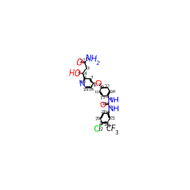 NC(=O)CC(O)c1cc(Oc2ccc(NC(=O)Nc3ccc(Cl)c(C(F)(F)F)c3)cc2)ccn1